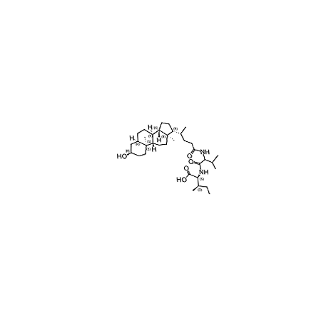 CC[C@@H](C)[C@H](NC(=O)C(NC(=O)CCC(C)[C@H]1CC[C@H]2[C@@H]3CC[C@@H]4C[C@H](O)CC[C@]4(C)[C@H]3CC[C@]12C)C(C)C)C(=O)O